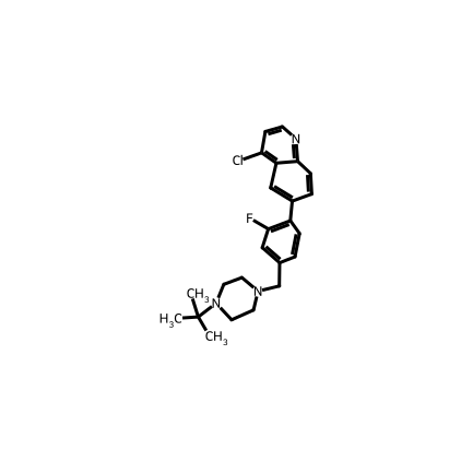 CC(C)(C)N1CCN(Cc2ccc(-c3ccc4nccc(Cl)c4c3)c(F)c2)CC1